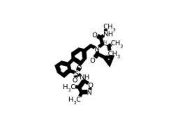 CNC(=O)[C@H](C(C)C)N(Cc1ccc(-c2ccccc2S(=O)(=O)Nc2onc(C)c2C)cc1)C(=O)C1CC1